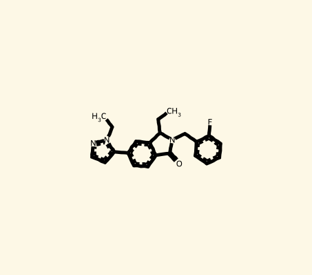 CCC1c2cc(-c3ccnn3CC)ccc2C(=O)N1Cc1ccccc1F